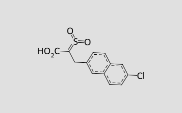 O=C(O)C(Cc1ccc2cc(Cl)ccc2c1)=S(=O)=O